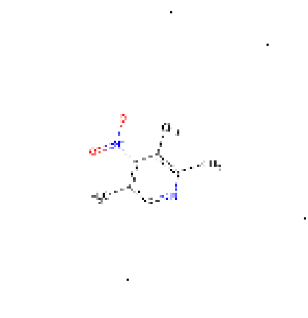 [CH2]c1ncc(C)c([N+](=O)[O-])c1C